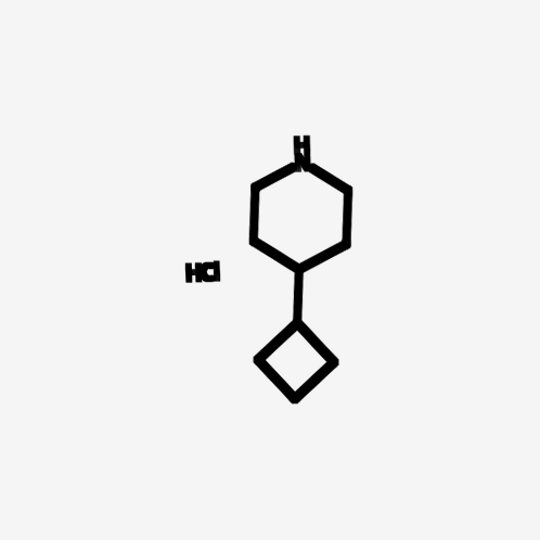 C1CC(C2CCNCC2)C1.Cl